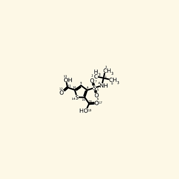 CC(C)(C)NS(=O)(=O)c1cc(C(=O)O)sc1C(=O)O